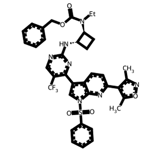 CCN(C(=O)OCc1ccccc1)[C@H]1CC[C@@H]1Nc1ncc(C(F)(F)F)c(-c2cn(S(=O)(=O)c3ccccc3)c3nc(-c4c(C)noc4C)ccc23)n1